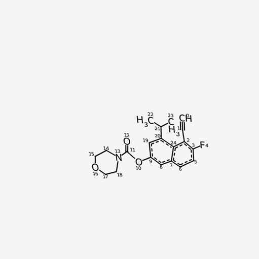 C#Cc1c(F)ccc2cc(OC(=O)N3CCOCC3)cc(C(C)C)c12